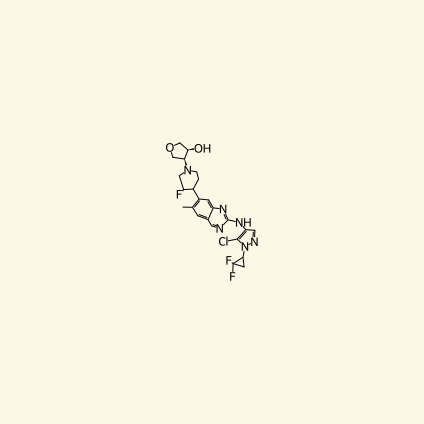 Cc1cc2cnc(Nc3cnn(C4CC4(F)F)c3Cl)nc2cc1C1CCN([C@H]2COC[C@H]2O)C[C@@H]1F